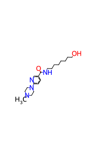 CN1CCN(c2ccc(C(=O)NCCCCCCCCO)cn2)CC1